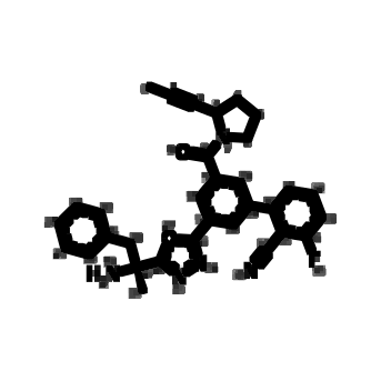 CC#CC1CCCN1C(=O)c1cc(-c2nnc([C@](C)(N)Cc3ccccc3)o2)cc(-c2cccc(F)c2C#N)c1